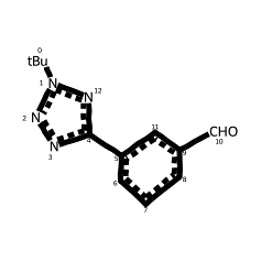 CC(C)(C)n1nnc(-c2cccc(C=O)c2)n1